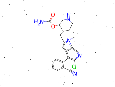 Cn1c(CC2CCNCC2OC(N)=O)cc2c(-c3ccccc3C#N)c(Cl)ncc21